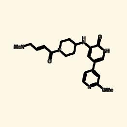 CNCC=CC(=O)N1CCC(Nc2cc(-c3ccnc(OC)c3)c[nH]c2=O)CC1